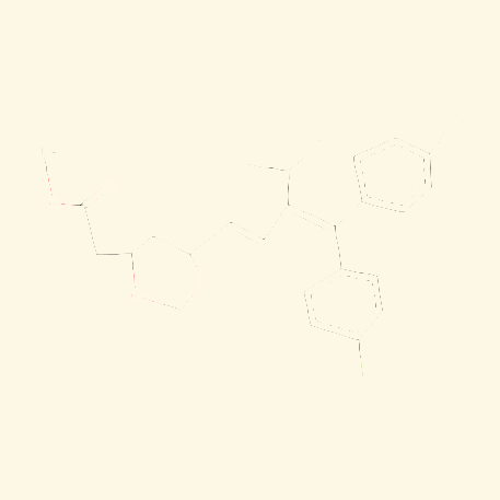 CC(C)(C)OC(=O)CC1CC(/C=C/C(=C(c2ccc(F)cc2)c2ccc(F)cc2)C(F)F)OCO1